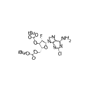 CC(C)COC(=O)OC[C@H]1O[C@@H](n2cnc3c(N)nc(Cl)nc32)[C@@H](F)[C@@H]1OC(=O)OC(C)(C)C